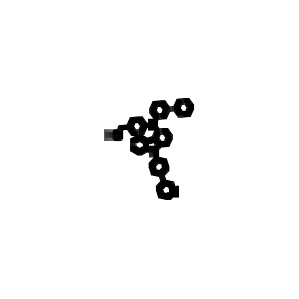 OCc1ccc(N(c2cccc(-c3ccccc3)c2)c2cccc3c2c2ccccc2n3-c2ccc(-c3cccnc3)cc2)cc1